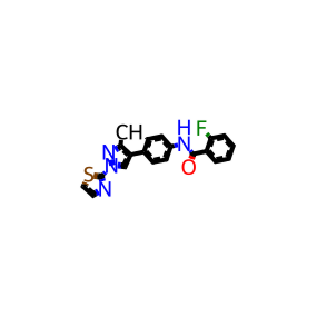 Cc1nn(-c2nccs2)cc1-c1ccc(NC(=O)c2ccccc2F)cc1